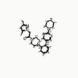 Cc1cc(C)n(CC(=O)N2CCN(c3ccccc3-c3cnc(N4CCCCC4)nc3)CC2)n1